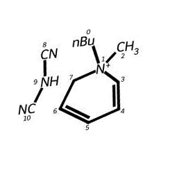 CCCC[N+]1(C)C=CC=CC1.N#CNC#N